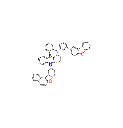 c1cc(-c2ccc3oc4ccccc4c3c2)cc(N2c3ccccc3B3c4ccccc4N(c4ccc5oc6ccc7ccccc7c6c5c4)c4cccc2c43)c1